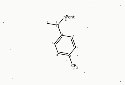 CCCCCN(C)c1ccc(C(F)(F)F)cc1